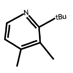 Cc1ccnc(C(C)(C)C)c1C